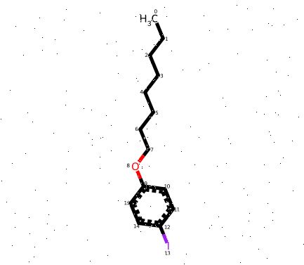 CCC[CH]CCCCOc1ccc(I)cc1